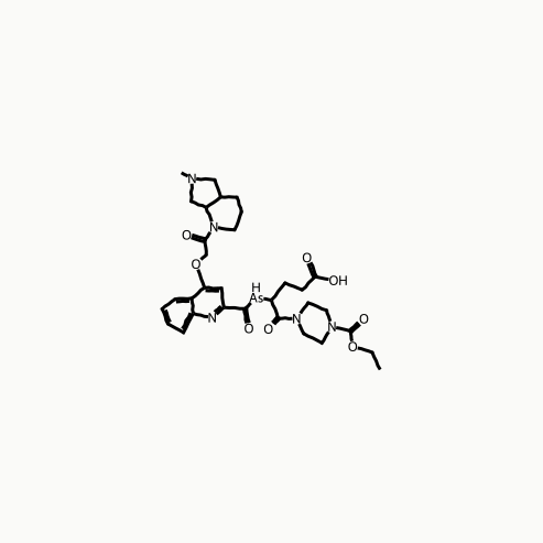 CCOC(=O)N1CCN(C(=O)C(CCC(=O)O)[AsH]C(=O)c2cc(OCC(=O)N3CCCC4CN(C)CC43)c3ccccc3n2)CC1